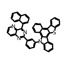 c1cc(-c2nc(-c3cccc4ccccc34)c3ncccc3n2)cc(-n2c3ccccc3c3c4sc5ccccc5c4c4ccccc4c32)c1